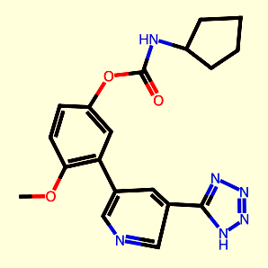 COc1ccc(OC(=O)NC2CCCC2)cc1-c1cncc(-c2nnn[nH]2)c1